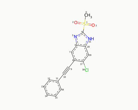 CS(=O)(=O)c1nc2cc(C#Cc3ccccc3)c(Cl)cc2[nH]1